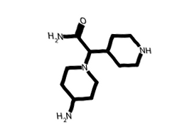 NC(=O)C(C1CCNCC1)N1CCC(N)CC1